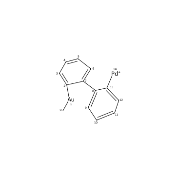 [CH3][Au][c]1ccccc1-c1cccc[c]1[Pd+]